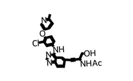 CC(=O)NC(C#Cc1ccc2ncnc(Nc3ccc(Oc4ccc(C)nc4)c(Cl)c3)c2c1)CO